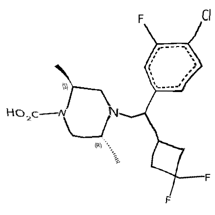 C[C@@H]1CN(C(=O)O)[C@@H](C)CN1C(c1ccc(Cl)c(F)c1)C1CC(F)(F)C1